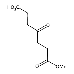 COC(=O)CCC(=O)CCC(=O)O